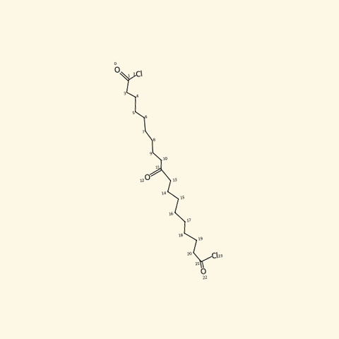 O=C(Cl)CCCCCCCCC(=O)CCCCCCCCC(=O)Cl